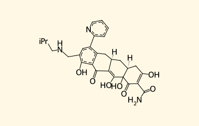 CC(C)CNCc1cc(-c2ccccn2)c2c(c1O)C(=O)C1=C(O)C3(O)C(=O)C(C(N)=O)=C(O)C[C@@H]3C[C@@H]1C2